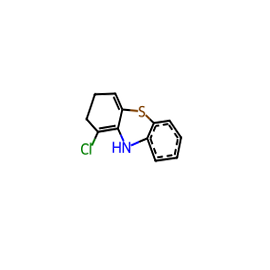 ClC1=C2Nc3ccccc3SC2=CCC1